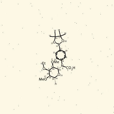 CCO[C@H]1[C@@H](OC)[C@H](N(C(=O)O)c2ccc(B3OC(C)(C)C(C)(C)O3)cc2)O[C@H](C)[C@H]1OC